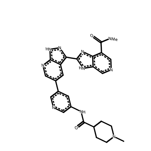 CNC(=O)c1cncc2[nH]c(-c3n[nH]c4ncc(-c5cncc(NC(=O)C6CCN(C)CC6)c5)cc34)nc12